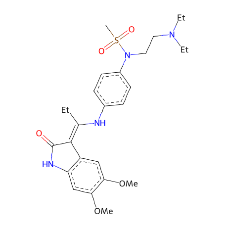 CCC(Nc1ccc(N(CCN(CC)CC)S(C)(=O)=O)cc1)=C1C(=O)Nc2cc(OC)c(OC)cc21